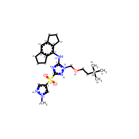 Cn1cc(S(=O)(=O)c2nc(Nc3c4c(cc5c3CCC5)CCC4)n(COCC[Si](C)(C)C)n2)cn1